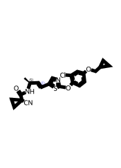 C[C@@H](/C=C/c1cnc(Oc2ccc(OCC3CC3)cc2Cl)s1)NC(=O)C1(C#N)CC1